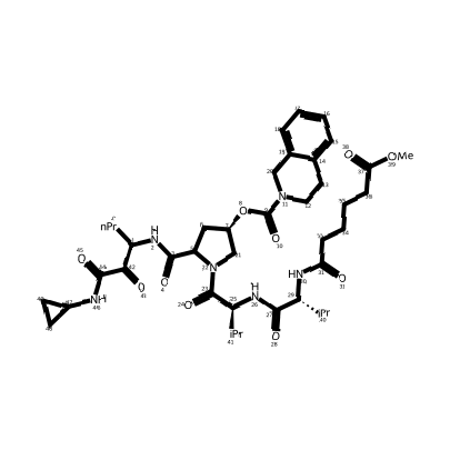 CCCC(NC(=O)C1C[C@@H](OC(=O)N2CCc3ccccc3C2)CN1C(=O)[C@@H](NC(=O)[C@H](NC(=O)CCCCC(=O)OC)C(C)C)C(C)C)C(=O)C(=O)NC1CC1